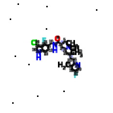 C=N/C(=C\C(=C/C)C(=O)NCc1ccc2[nH]cc(Cl)c2c1F)C/C(C)=C/C=c1/ncc(F)cc1=C